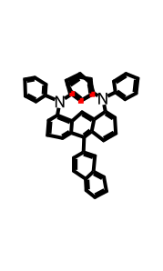 c1ccc(N(c2ccccc2)c2cccc3c(-c4ccc5ccccc5c4)c4cccc(N(c5ccccc5)c5ccccc5)c4cc23)cc1